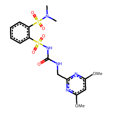 COc1cc(OC)nc(CNC(=O)NS(=O)(=O)c2ccccc2S(=O)(=O)N(C)C)n1